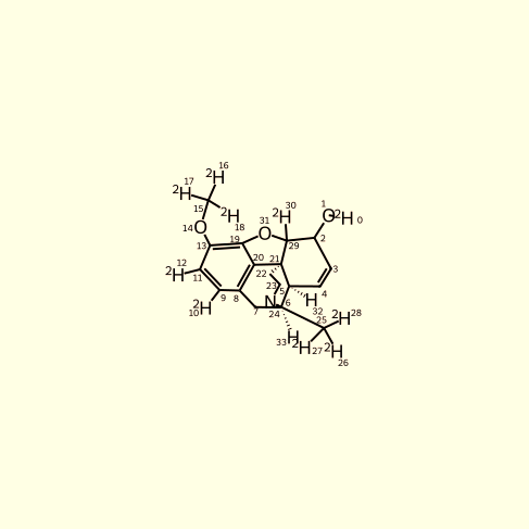 [2H]OC1C=C[C@H]2[C@H]3Cc4c([2H])c([2H])c(OC([2H])([2H])[2H])c5c4[C@@]2(CCN3C([2H])([2H])[2H])C1([2H])O5